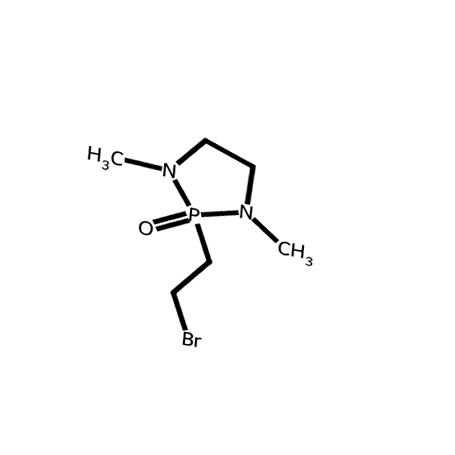 CN1CCN(C)P1(=O)CCBr